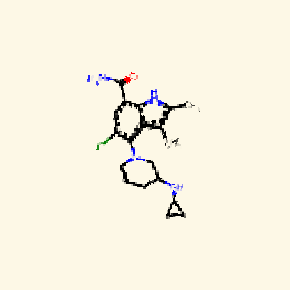 Cc1[nH]c2c(C(N)=O)cc(F)c(N3CCCC(NC4CC4)C3)c2c1C